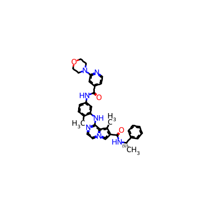 Cc1ccc(NC(=O)c2ccnc(N3CCOCC3)c2)cc1Nc1nccn2cc(C(=O)N[C@@H](C)c3ccccc3)c(C)c12